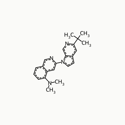 CN(C)c1cccc2cnc(-n3ccc4cc(C(C)(C)C)ncc43)cc12